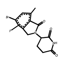 Cc1cc(Br)c(F)c2c1C(=O)N(C1CCC(=O)NC1=O)C2